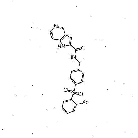 CC(=O)c1ccccc1S(=O)(=O)c1ccc(CNC(=O)c2cc3cnccc3[nH]2)cc1